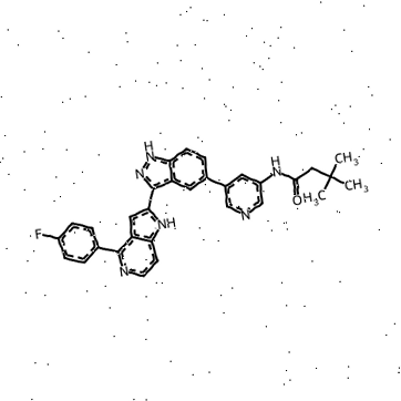 CC(C)(C)CC(=O)Nc1cncc(-c2ccc3[nH]nc(-c4cc5c(-c6ccc(F)cc6)nccc5[nH]4)c3c2)c1